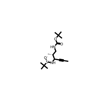 CC#CC(N[S@+]([O-])C(C)(C)C)[C@H](C)CNC(=O)OC(C)(C)C